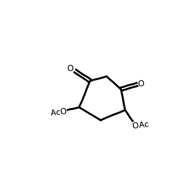 CC(=O)OC1CC(OC(C)=O)C(=O)CC1=O